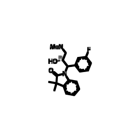 CNC[C@@H](O)C(c1cccc(F)c1)N1C(=O)C(C)(C)c2ccccc21